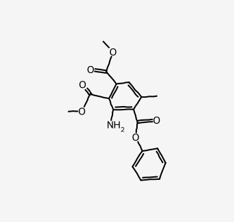 COC(=O)c1cc(C)c(C(=O)Oc2ccccc2)c(N)c1C(=O)OC